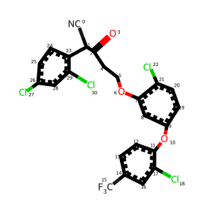 N#CC(C(=O)CCOc1cc(Oc2ccc(C(F)(F)F)cc2Cl)ccc1Cl)c1ccc(Cl)cc1Cl